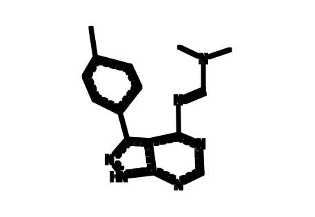 Cc1ccc(-c2n[nH]c3ncnc(/N=C/N(C)C)c23)cc1